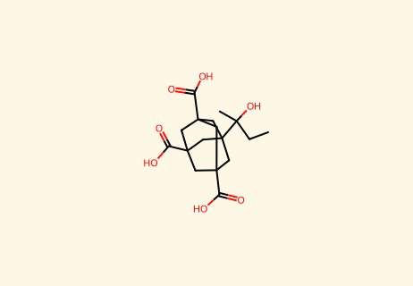 CCC(C)(O)C12CC3(C(=O)O)CC(C(=O)O)(CC(C(=O)O)(C3)C1)C2